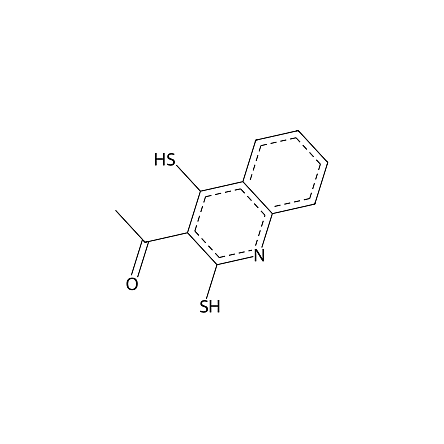 CC(=O)c1c(S)nc2ccccc2c1S